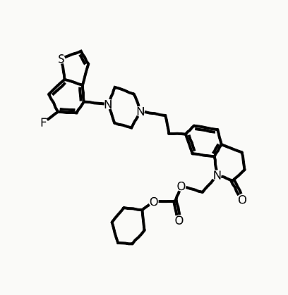 O=C(OCN1C(=O)CCc2ccc(CCN3CCN(c4cc(F)cc5sccc45)CC3)cc21)OC1CCCCC1